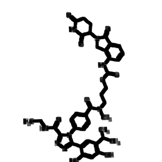 CCNC(=O)c1nnc(-c2cc(C(C)C)c(O)cc2O)n1-c1ccc(C(=O)N(C)CCCOC(=O)Nc2cccc3c2CN(C2CCC(=O)NC2=O)C3=O)cc1